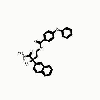 CC(CCNC(=O)c1ccc(Oc2ccccc2)cc1)(C(=O)NO)c1ccc2ccccc2c1